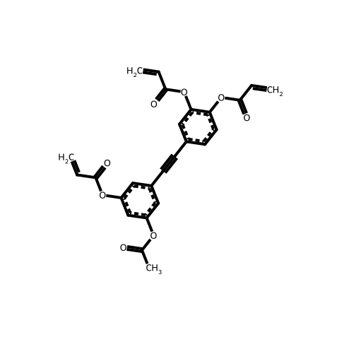 C=CC(=O)Oc1cc(C#Cc2ccc(OC(=O)C=C)c(OC(=O)C=C)c2)cc(OC(C)=O)c1